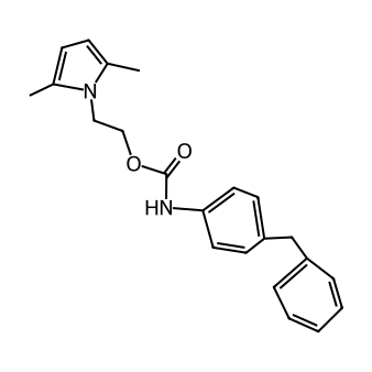 Cc1ccc(C)n1CCOC(=O)Nc1ccc(Cc2ccccc2)cc1